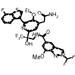 CCOc1c(CC(N)=O)cc([C@@](O)(CNC(=O)c2cc(OC)c3nn(C(F)F)cc3c2)C(F)(F)F)nc1-c1csc2c(F)cccc12